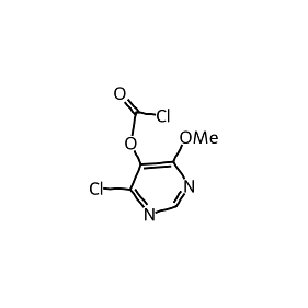 COc1ncnc(Cl)c1OC(=O)Cl